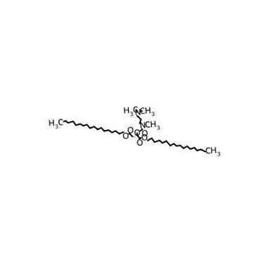 CCCCCCCCCCCCCCCCCCOC(=O)C[C@H](OC(=O)N(C)CCCN(C)C)C(=O)OCCCCCCCCCCCCCCCCCC